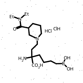 CCN(CC)C(=O)C1CCCN(CCC(N)(CCCCB(O)O)C(=O)O)C1.Cl.Cl